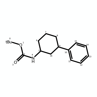 CC(C)(C)OC(=O)NC1CCCC(c2ccccc2)C1